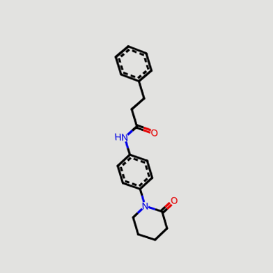 O=C(CCc1ccccc1)Nc1ccc(N2CCCCC2=O)cc1